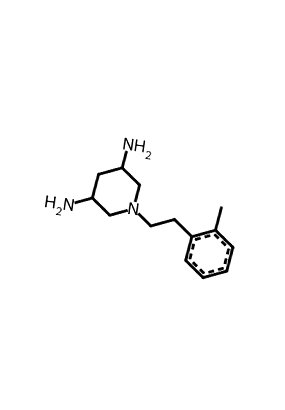 Cc1ccccc1CCN1CC(N)CC(N)C1